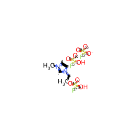 CCn1cc[n+](C)c1.O=S(=O)(O)F.O=S(=O)(O)F.O=S(=O)([O-])F